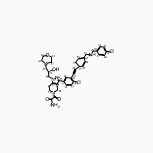 NC(=O)C(=O)N1CCc2c(c(-c3ccc(Cl)c(C#CC4C=CC(CNCc5ccc(Cl)cc5)=CC4)c3)nn2C[C@H](O)CN2CCOCC2)C1